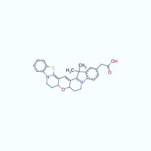 CC1(C)C2=[N+](CCC3OC4CCN5C(=C4C=C23)Sc2ccccc25)c2ccc(CC(=O)O)cc21